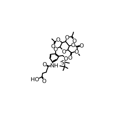 COC(=O)C1OC(Oc2ccc(NC(=O)CCC(=O)O)cc2CO[Si](C)(C)C(C)(C)C)C(OC(C)=O)C(OC(C)=O)C1OC(C)=O